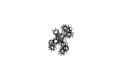 c1ccc2c(c1)B1c3cc4oc5ccccc5c4cc3N(c3ccc4oc5ccccc5c4c3)c3cc(-c4cccc5sc6ccccc6c45)cc-2c31